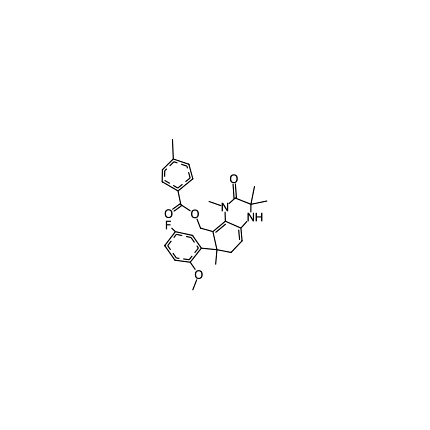 COc1ccc(F)cc1C1(C)CC=C2NC(C)(C)C(=O)N(C)C2=C1COC(=O)c1ccc(C)cc1